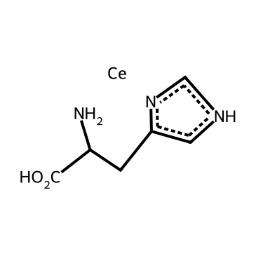 NC(Cc1c[nH]cn1)C(=O)O.[Ce]